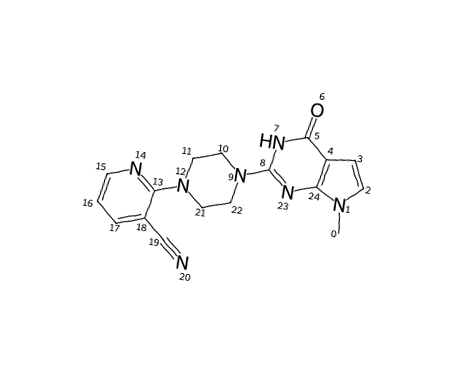 Cn1ccc2c(=O)[nH]c(N3CCN(c4ncccc4C#N)CC3)nc21